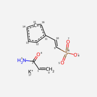 C=CC(N)=O.O=S(=O)([O-])C=Cc1ccccc1.[K+]